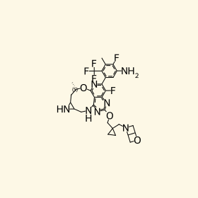 Cc1c(F)c(N)cc(-c2nc3c4c(nc(OCC5(CN6CC7OCC76)CC5)nc4c2F)NCC2NC2C[C@H](C)O3)c1C(F)(F)F